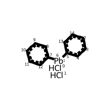 Cl.Cl.c1cc[c]([Pb][c]2ccccc2)cc1